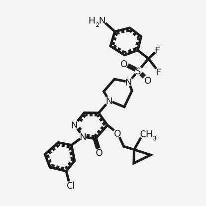 CC1(COc2c(N3CCN(S(=O)(=O)C(F)(F)c4ccc(N)cc4)CC3)cnn(-c3cccc(Cl)c3)c2=O)CC1